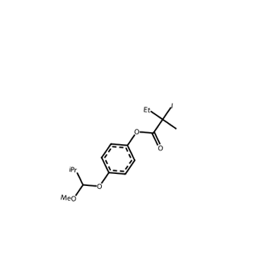 CCC(C)(I)C(=O)Oc1ccc(OC(OC)C(C)C)cc1